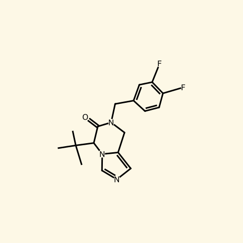 CC(C)(C)C1C(=O)N(Cc2ccc(F)c(F)c2)Cc2cncn21